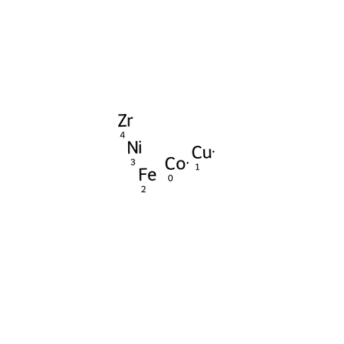 [Co].[Cu].[Fe].[Ni].[Zr]